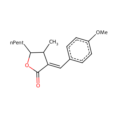 CCCCCC1OC(=O)C(=Cc2ccc(OC)cc2)C1C